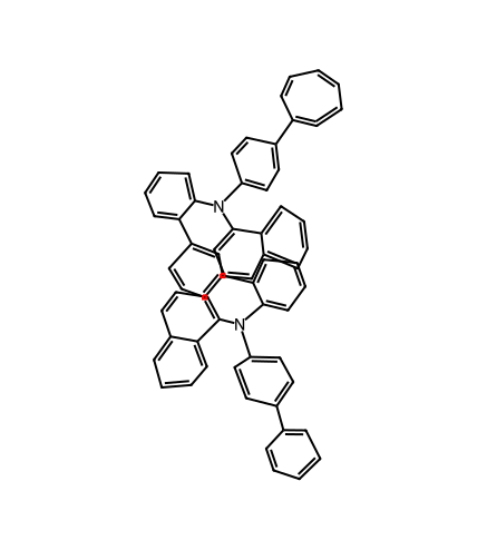 C1=CC=CC=CC=1c1ccc(N(c2ccccc2-c2cccc(-c3ccccc3N(c3ccc(-c4ccccc4)cc3)c3cccc4ccccc34)c2)c2cccc3ccccc23)cc1